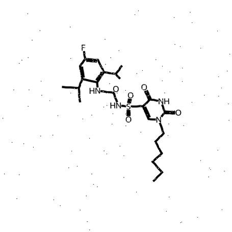 CCCCCCn1cc(S(=O)(=O)NC(=O)Nc2c(C(C)C)cc(F)cc2C(C)C)c(=O)[nH]c1=O